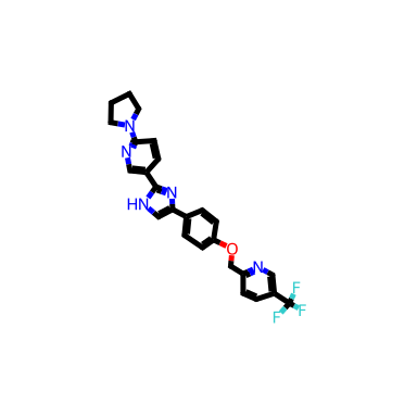 FC(F)(F)c1ccc(COc2ccc(-c3c[nH]c(-c4ccc(N5CCCC5)nc4)n3)cc2)nc1